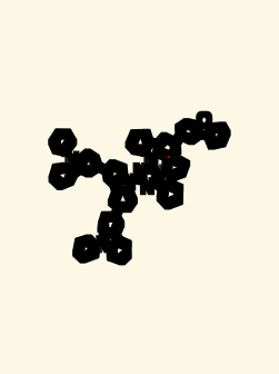 c1ccc(-c2ccccc2-c2nc(-n3c4ccccc4c4cc(-c5ccc6oc7ccccc7c6c5)ccc43)nc(-n3c4ccc(-c5ccc6c(c5)c5ccccc5n6-c5ccccc5)cc4c4cc(-c5ccc6c(c5)c5ccccc5n6-c5ccccc5)ccc43)n2)cc1